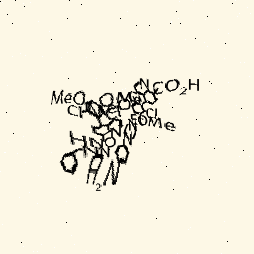 CCN1CCN(c2ccc(N)cc2)CC1.COc1cc(OC)c(Cl)c(-c2ccc(C(=O)Nc3nccn3Cc3ccccc3)c3ncccc23)c1Cl.COc1cc(OC)c(Cl)c(-c2ccc(C(=O)O)c3ncccc23)c1Cl